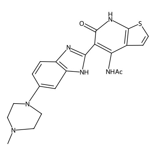 CC(=O)Nc1c(-c2nc3ccc(N4CCN(C)CC4)cc3[nH]2)c(=O)[nH]c2sccc12